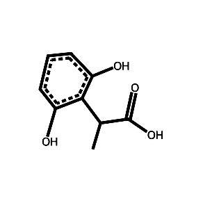 CC(C(=O)O)c1c(O)cccc1O